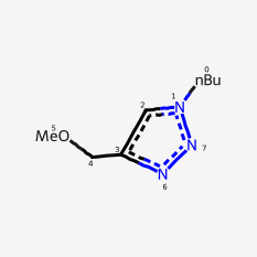 CCCCn1cc(COC)nn1